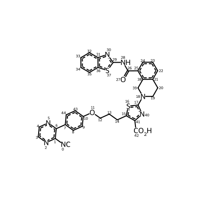 [C-]#[N+]c1nccnc1-c1ccc(OCCCc2sc(N3CCc4cccc(C(=O)Nc5nc6ccccc6s5)c4C3)nc2C(=O)O)cc1